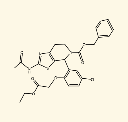 CCOC(=O)COc1ccc(Cl)cc1C1c2sc(NC(C)=O)nc2CCN1C(=O)OCc1ccccc1